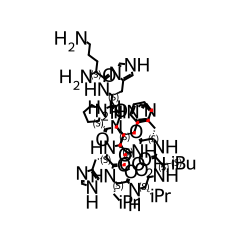 CC[C@H](C)[C@H](NC(=O)[C@@H](NC(=O)[C@H](CC(C)C)NC(=O)[C@H](Cc1c[nH]cn1)NC(=O)[C@H](Cc1ccccc1)NC(=O)[C@@H]1CCCN1C(=O)[C@H](Cc1c[nH]cn1)NC(=O)[C@@H](N)CCCN)C(C)C)C(=O)N[C@@H](Cc1c[nH]cn1)C(=O)N[C@@H](CCCCN)C(=O)O